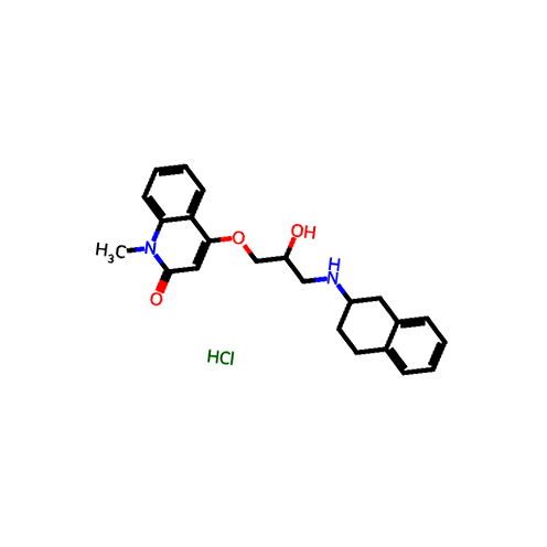 Cl.Cn1c(=O)cc(OCC(O)CNC2CCc3ccccc3C2)c2ccccc21